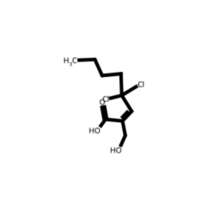 CCCCC(Cl)(Cl)C=C(CO)C(=O)O